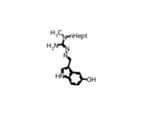 CCCCCCCN(C)/C(N)=N/N=C/c1c[nH]c2ccc(O)cc12